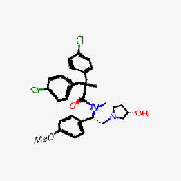 COc1ccc([C@@H](CN2CC[C@H](O)C2)N(C)C(=O)C(C)(c2ccc(Cl)cc2)c2ccc(Cl)cc2)cc1